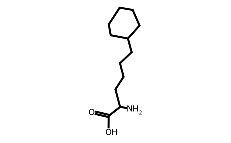 NC(CCCCC1CCCCC1)C(=O)O